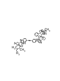 COC(=O)N[C@H](C(=O)N1CCC[C@H]1c1ncc(-c2ccc(C#Cc3ccc4nc([C@@H]5CC6(CC6)CN5C(=O)[C@@H](C)C(C)C)[nH]c4c3)cc2)[nH]1)[C@@H](C)c1ccccc1